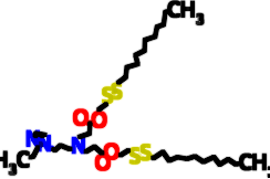 CCCCCCCCCCCCSSCCOC(=O)CCN(CCCn1ccnc1CC)CCC(=O)OCCSSCCCCCCCCCCCC